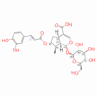 C[C@@H]1[C@H]2[C@H](O[C@@H]3O[C@H](CO)[C@@H](O)[C@H](O)[C@H]3O)OC=C(C(=O)O)[C@H]2C[C@H]1OC(=O)/C=C/c1ccc(O)c(O)c1